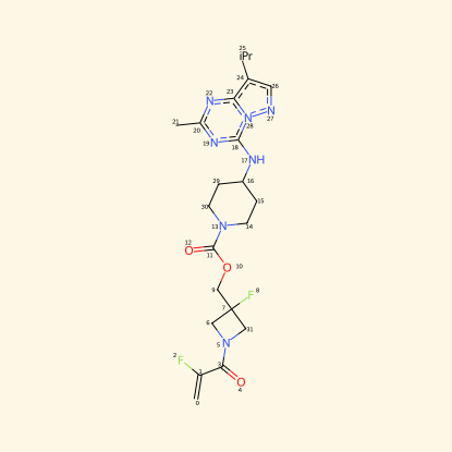 C=C(F)C(=O)N1CC(F)(COC(=O)N2CCC(Nc3nc(C)nc4c(C(C)C)cnn34)CC2)C1